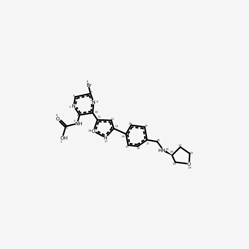 O=C(O)Nc1ncc(Br)nc1-c1cc(-c2ccc(CN[C@H]3CCOC3)cc2)no1